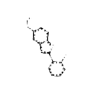 OCc1ccc2oc(-c3ccccc3F)cc2c1